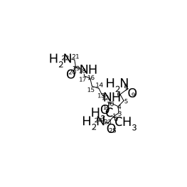 CC(C)(CC(CCC(N)=O)C(=O)NCCCCCNC(=O)CN)C(N)=O